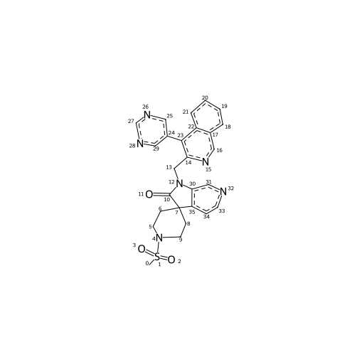 CS(=O)(=O)N1CCC2(CC1)C(=O)N(Cc1ncc3ccccc3c1-c1cncnc1)c1cnccc12